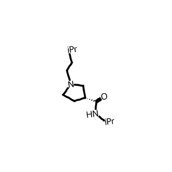 CC(C)CCN1CC[C@@H](C(=O)NC(C)C)C1